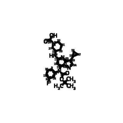 CC(C)(C)OC(=O)N(c1cccc(F)c1)c1cc(NC2CCCN(C(=O)O)C2)nc2c(C3CC3)cnn12